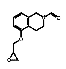 O=CN1CCc2c(cccc2OCC2CO2)C1